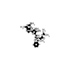 CC(C)OC(=O)[C@@H](C)N[P@@](=O)(OC[C@H]1O[C@@H](n2cnc3c(N)nc(N)nc32)[C@](C)(N)[C@@H]1O)Oc1ccccc1